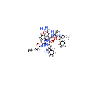 CN[C@@H](C)C(=O)N[C@@H](Cc1ccc(O)cc1)C(=O)N[C@H](Cc1c[nH]c2ccccc12)C(=O)N[C@@H](CCCCN)C(=O)N[C@H](C(=O)N[C@@H](Cc1ccccc1)C(=O)O)C(C)C